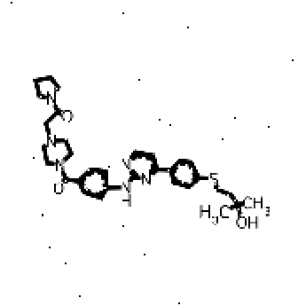 CC(C)(O)CCSc1ccc(-c2ccnc(Nc3ccc(C(=O)N4CCN(CC(=O)N5CCCC5)CC4)cc3)n2)cc1